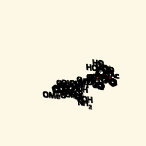 COc1cccc2c1C(=O)c1c(O)c3c(c(O)c1C2=O)C[C@](O)(/C(CO)=N/NC(=O)CCC(O)OC(Cc1ccccc1)C(=O)OC1C[C@@]2(O)[C@H](OC(=O)c4ccccc4)C4[C@@](C)(C(=O)[C@H](O)C(=C1C)C2(C)C)[C@H](O)C[C@@]1(C)OC[C@@]41OC(C)=O)C[C@H]3O[C@H]1C[C@H](N)[C@H](O)[C@H](C)O1